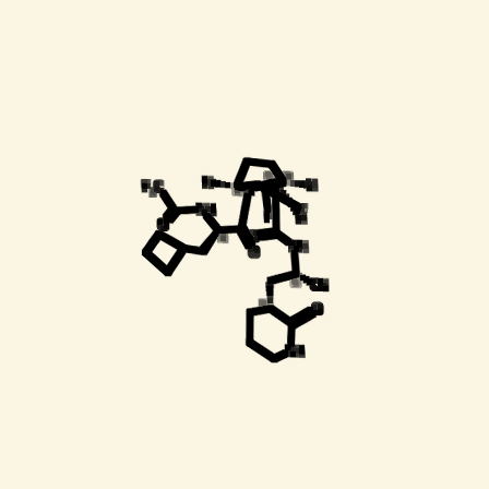 N#C[C@H](C[C@H]1CCCNC1=O)NC(=O)[C@@H]1[C@@H]2CC[C@@H](CC2(F)F)N1C(=O)[C@@H](CC1CCC1)NC(=O)C(F)(F)F